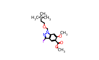 COC(=O)c1cc2c(I)nn(COCC[Si](C)(C)C)c2cc1OC